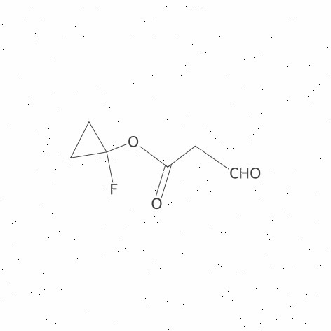 O=CCC(=O)OC1(F)CC1